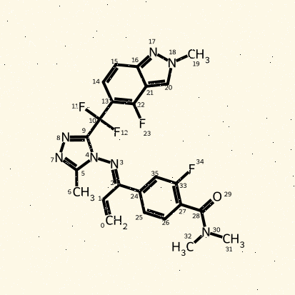 C=C/C(=N\n1c(C)nnc1C(F)(F)c1ccc2nn(C)cc2c1F)c1ccc(C(=O)N(C)C)c(F)c1